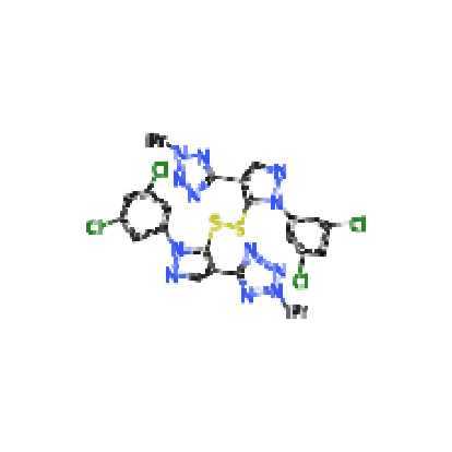 CC(C)n1nnc(-c2cnn(-c3cc(Cl)cc(Cl)c3)c2SSc2c(-c3nnn(C(C)C)n3)cnn2-c2cc(Cl)cc(Cl)c2)n1